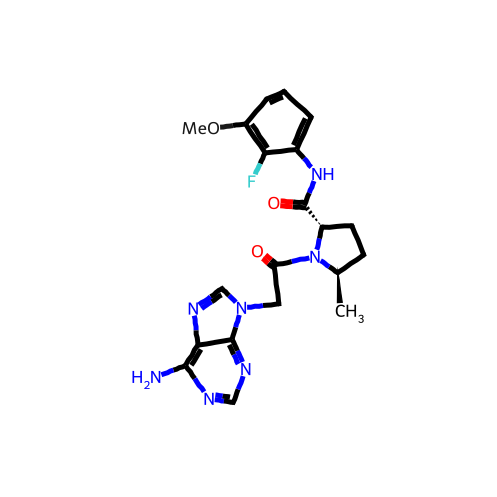 COc1cccc(NC(=O)[C@@H]2CC[C@@H](C)N2C(=O)Cn2cnc3c(N)ncnc32)c1F